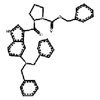 O=C(c1c[nH]c2ccc(N(Cc3ccccc3)Cc3ccccc3)cc12)[C@H]1CCCN1C(=O)OCc1ccccc1